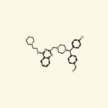 Clc1ccc(C(c2ccc(CI)cc2)N2CCN(Cc3nc(OCCN4CCCCC4)c4ccccc4n3)CC2)cc1